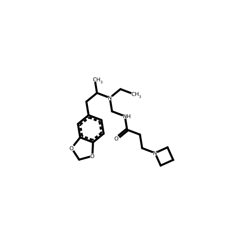 CCN(CNC(=O)CCN1CCC1)C(C)Cc1ccc2c(c1)OCO2